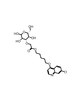 O=C(CO[C@H]1[C@H](O)[C@@H](CO)OC(O)[C@@H]1O)OCCCCCOc1ccnc2cc(Cl)ccc12